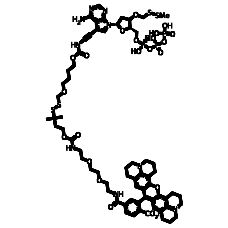 CSSCOC1C[C@H](n2cc(C#CNC(=O)OCCCCOCSSC(C)(C)CCOC(=O)NCCOCCOCCNC(=O)c3ccc(C(=O)O)c(C4=c5cc6c7c(c5Oc5c4cc4c8c5CCCN8CCC4)CCC[N+]=7CCC6)c3)c3c(N)ncnc32)O[C@@H]1COP(=O)(O)OP(=O)(O)OP(=O)(O)O